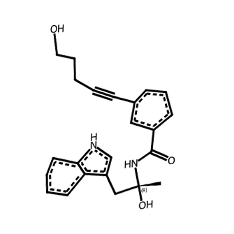 C[C@@](O)(Cc1c[nH]c2ccccc12)NC(=O)c1cccc(C#CCCCO)c1